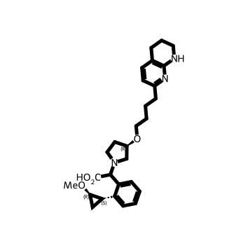 CO[C@@H]1C[C@H]1c1ccccc1C(C(=O)O)N1CC[C@@H](OCCCCc2ccc3c(n2)NCCC3)C1